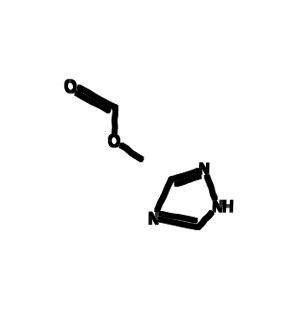 COC=O.c1nc[nH]n1